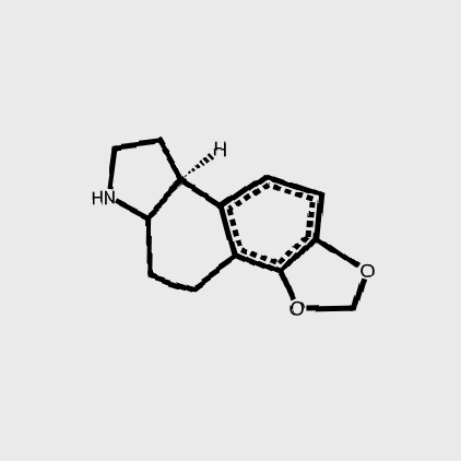 c1cc2c(c3c1OCO3)CCC1NCC[C@@H]21